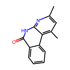 Cc1cc(C)c2c(n1)[nH]c(=O)c1ccccc12